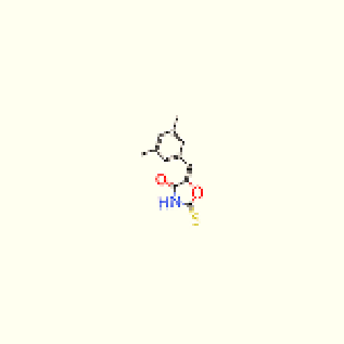 Cc1cc(C)cc(C=C2OC(=S)NC2=O)c1